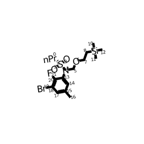 CCCS(=O)(=O)N(COCC[Si](C)(C)C)c1cc(C)cc(Br)c1F